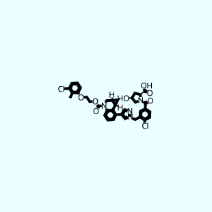 Cc1c(Cl)cccc1OCCOC(=O)N1C[C@@H]2C[C@@H]2c2c(-c3cnn(Cc4cc(C(=O)N5C[C@@H](O)C[C@H]5C(=O)O)ccc4Cl)c3)cccc21